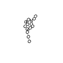 c1ccc(-c2ccc(-c3ccc4oc5c(-c6cc7c(oc8cccc(N(c9ccc%10ccccc%10c9)c9ccc%10ccccc%10c9)c87)c7ccccc67)cccc5c4c3)cc2)cc1